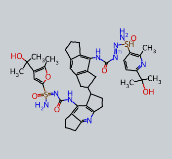 Cc1nc(C(C)(C)O)ccc1[SH](N)(=O)/N=N/C(=O)Nc1c2c(cc3c1CC(C1CCc4nc5c(c(NC(=O)N=S(N)(=O)c6cc(C(C)(C)O)c(C)o6)c41)CCC5)C3)CCC2